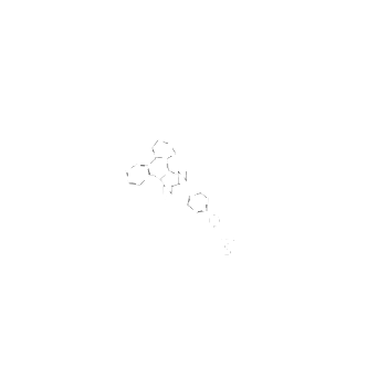 Cn1c(-c2ccc(OCC3CS3)cc2)nc2c3ccccc3c3ccccc3c21